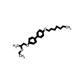 CCCCCCCOc1ccc(-c2ccc(OCC(C)OCC)cc2)cc1